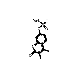 CNS(=O)(=O)Oc1ccc2c(C)c(C)c(=O)oc2c1